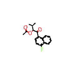 CC(=O)OC(C(=O)c1ccc(F)c2ccccc12)C(C)C